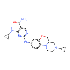 NC(=O)c1cnc(Nc2ccc3c(c2)OCC2CN(C4CC4)CCN32)nc1NC1CC1